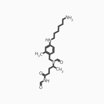 Cc1cc(NCCCCCCN)ccc1CN(C=O)C(C)CCC(=O)NC=O